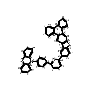 c1cc(-c2ccc(N3c4ccccc4Sc4ccccc43)cc2)nc(-c2ccc3sc4cc5c6ccccc6c6ccccc6c5cc4c3c2)c1